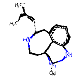 CC(C)=C[C@H]1NCC[C@]2(N)c3c(cccc31)N[C@@H]2C#N